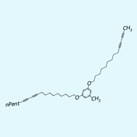 CC#CC#CCCCCCCCCCOc1cc(C)cc(OCCCCCCCCCC#CC#CCCCCC)c1